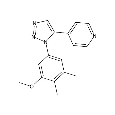 COc1cc(-n2nncc2-c2ccncc2)cc(C)c1C